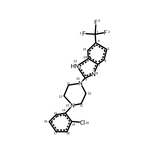 FC(F)(F)c1ccc2nc(N3CCN(c4ccccc4Cl)CC3)[nH]c2c1